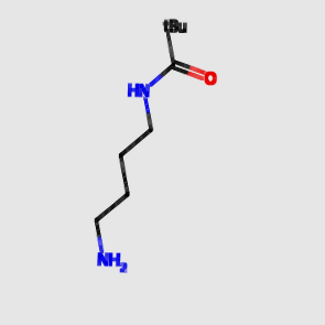 CC(C)(C)C(=O)NCCCCN